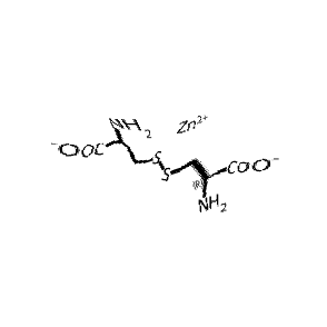 NC(CSSC[C@H](N)C(=O)[O-])C(=O)[O-].[Zn+2]